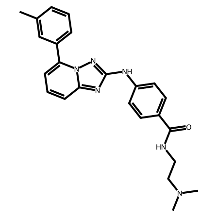 Cc1cccc(-c2cccc3nc(Nc4ccc(C(=O)NCCN(C)C)cc4)nn23)c1